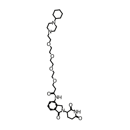 O=C1CCC(N2Cc3c(NC(=O)CCOCCOCCOCCOCCN4CCN(C5CCCCC5)CC4)cccc3C2=O)C(=O)N1